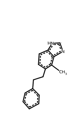 Cc1c(CCc2ccccc2)ccc2[nH][c]nc12